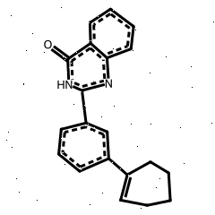 O=c1[nH]c(-c2cccc(C3=CCCCC3)c2)nc2ccccc12